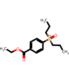 CCC[SH](=O)(CCC)c1ccc(C(=O)OCC)cc1